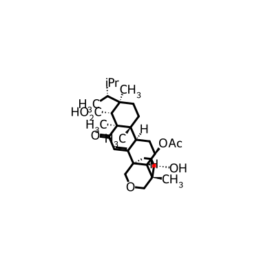 CC(=O)O[C@@H]1C[C@@]23COC[C@](C)([C@@H]2CC[C@H]2C3=CC(=O)[C@@]3(C)[C@H](C(=O)O)[C@@](C)([C@H](C)C(C)C)CC[C@]23C)[C@H]1O